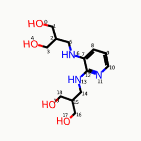 OCC(CO)CNc1cccnc1NCC(CO)CO